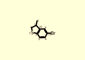 CC1CSc2ccc(Br)cc21